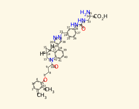 Cc1cccc(OCCCC(=O)N2C[C@@H]3C[C@@H]3c3c(-c4cnn(Cc5cccc(NC(=O)NCC(N)C(=O)O)c5)c4)cccc32)c1C